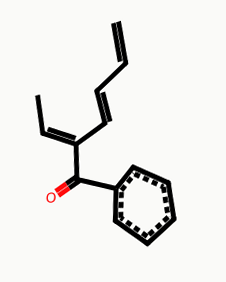 C=CC=C/C(=C\C)C(=O)c1ccccc1